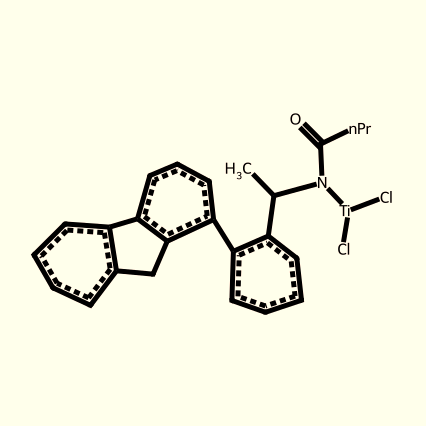 CCCC(=O)[N](C(C)c1ccccc1-c1cccc2c1Cc1ccccc1-2)[Ti]([Cl])[Cl]